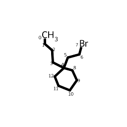 CCCCC1(CCBr)CCCCC1